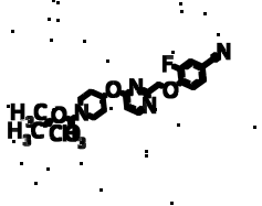 CC(C)(C)OC(=O)N1CCC(Oc2ccnc(COc3ccc(C#N)cc3F)n2)CC1